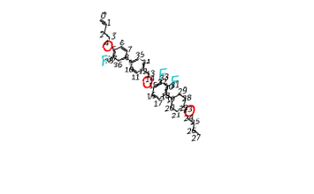 C=CCCOc1ccc(-c2ccc(COc3ccc(C4CCC(OCCCC)CC4)c(F)c3F)cc2)cc1F